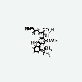 CO[C@@H](Cc1c[nH]c2cccc(N(C)C)c12)C(=O)N[C@@H](CCC(=O)C=[N+]=[N-])C(=O)O